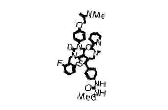 C=C(COc1ccc(-n2c(=O)c3c(CN(C)Cc4ccccn4)c(-c4ccc(NC(=O)NOC)cc4)sc3n(Cc3c(F)cccc3F)c2=O)cc1)NC